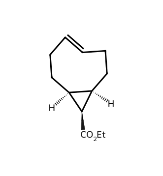 CCOC(=O)[C@@H]1[C@@H]2CC/C=C/CC[C@@H]21